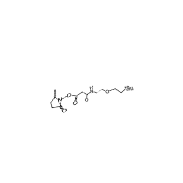 C=C1CCC(=O)N1OC(=O)CC(=O)NCCOCCC(C)(C)C